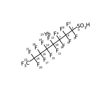 O=S(=O)(O)C(F)(F)C(F)(F)C(F)(F)C(F)(F)C(F)(F)C(F)(F)C(F)(F)C(F)(F)F.[Yb]